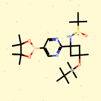 CC1(O[Si](C)(C)C(C)(C)C)CC(N[S@+]([O-])C(C)(C)C)(c2ncc(B3OC(C)(C)C(C)(C)O3)cn2)C1